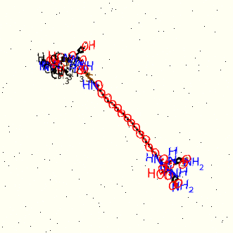 CCCC(=O)OCN(C(=O)[C@@H](NC(=O)[C@H]1CCCCN1C)[C@H](C)CC)[C@H](C[C@@H](O)c1nc(C(=O)N[C@@H](Cc2ccc(O)cc2)C[C@H](C)C(=O)NNC(=O)OCCSSCCNC(=O)CCOCCOCCOCCOCCOCCOCCOCCOCCOCCOCCOCCOCCNC(=O)CN(CCN(CC(=O)O)CC(=O)Nc2ccc(S(N)(=O)=O)cc2)CC(=O)Nc2ccc(S(N)(=O)=O)cc2)cs1)C(C)C